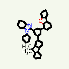 CC1(C)c2ccccc2-c2ccc(-c3cc(-c4cccc5c4oc4ccccc45)cc(-c4nc5ccccc5n4-c4ccccc4)c3)cc21